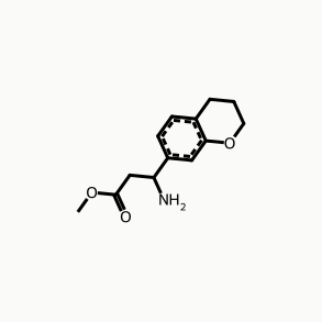 COC(=O)CC(N)c1ccc2c(c1)OCCC2